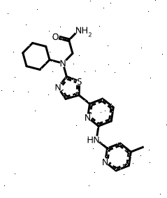 Cc1ccnc(Nc2cccc(-c3cnc(N(CC(N)=O)C4CCCCC4)s3)n2)c1